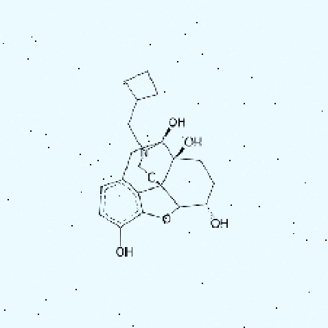 Oc1ccc2c3c1OC1[C@@H](O)CC[C@]4(O)[C@@]31CCN(CC1CCC1)[C@]4(O)C2